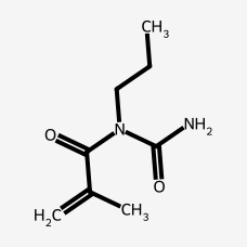 C=C(C)C(=O)N(CCC)C(N)=O